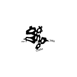 COc1ccc(C2(c3ccc(OC)cc3)C=Cc3c4c(c5cc(C)c(OC)cc5c3O2)-c2ccc(C)cc2C42CC(C)(C)CC(C)(C)C2)cc1